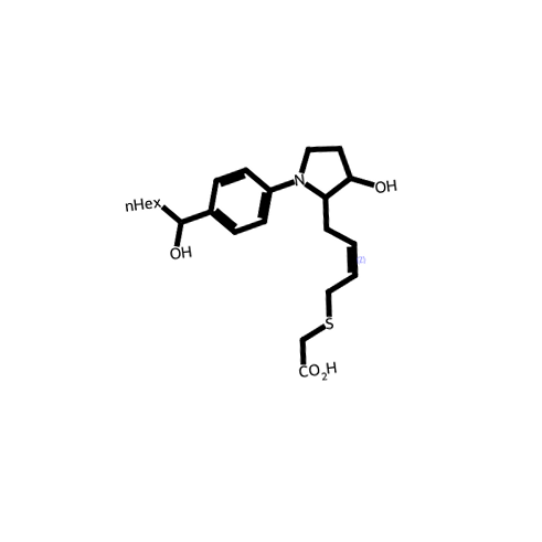 CCCCCCC(O)c1ccc(N2CCC(O)C2C/C=C\CSCC(=O)O)cc1